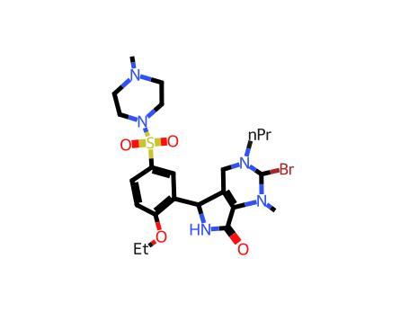 CCCN1CC2=C(C(=O)NC2c2cc(S(=O)(=O)N3CCN(C)CC3)ccc2OCC)N(C)C1Br